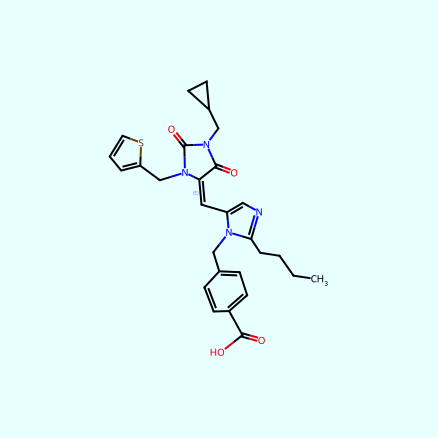 CCCCc1ncc(/C=C2\C(=O)N(CC3CC3)C(=O)N2Cc2cccs2)n1Cc1ccc(C(=O)O)cc1